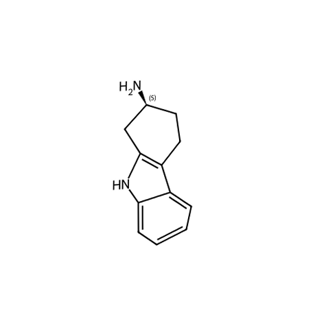 N[C@H]1CCc2c([nH]c3ccccc23)C1